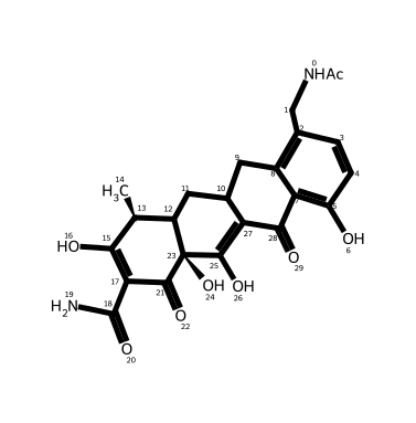 CC(=O)NCc1ccc(O)c2c1CC1CC3[C@H](C)C(O)=C(C(N)=O)C(=O)[C@@]3(O)C(O)=C1C2=O